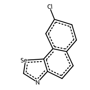 Clc1ccc2ccc3nc[se]c3c2c1